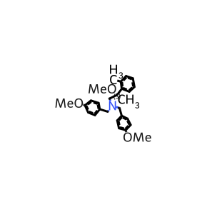 COc1ccc(CN(Cc2ccc(OC)cc2)C[C@@](C)(OC)c2ccccc2C)cc1